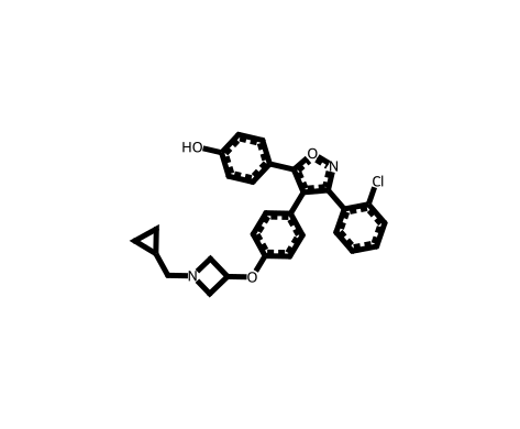 Oc1ccc(-c2onc(-c3ccccc3Cl)c2-c2ccc(OC3CN(CC4CC4)C3)cc2)cc1